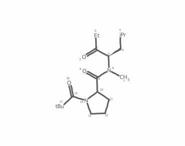 CCC(=O)[C@@H](CC(C)C)N(C)C(=O)C1CCCN1C(=O)C(C)(C)C